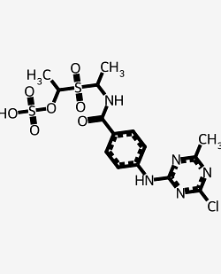 Cc1nc(Cl)nc(Nc2ccc(C(=O)NC(C)S(=O)(=O)C(C)OS(=O)(=O)O)cc2)n1